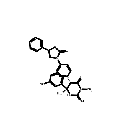 CN1C(=N)N[C@](C)(c2cccc(C#N)c2)[C@H](c2ccc(N3CC(c4ccccc4)CC3=O)cc2)C1=O